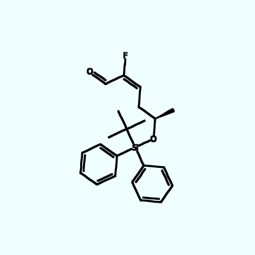 C[C@H](C/C=C(/F)C=O)O[Si](c1ccccc1)(c1ccccc1)C(C)(C)C